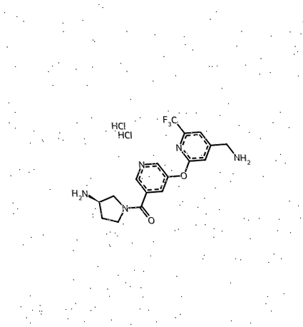 Cl.Cl.NCc1cc(Oc2cncc(C(=O)N3CC[C@@H](N)C3)c2)nc(C(F)(F)F)c1